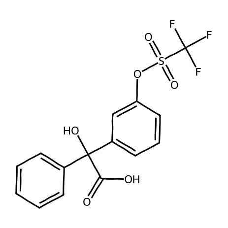 O=C(O)C(O)(c1ccccc1)c1cccc(OS(=O)(=O)C(F)(F)F)c1